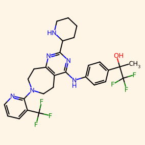 CC(O)(c1ccc(Nc2nc(C3CCCCN3)nc3c2CCN(c2ncccc2C(F)(F)F)CC3)cc1)C(F)(F)F